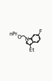 CCCOCn1cc(CC)c2ccc(F)cc21